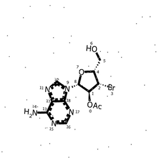 CC(=O)O[C@@H]1[C@@H](Br)[C@@H](CO)O[C@H]1n1cnc2c(N)ncnc21